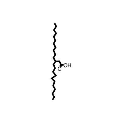 CCCCCCCCCCCC(CCCCCCCCCCC)CC(=O)O